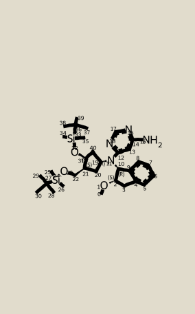 CO[C@H]1Cc2ccccc2[C@H]1N(c1cc(N)ncn1)[C@@H]1C[C@@H](CO[Si](C)(C)C(C)(C)C)[C@@H](O[Si](C)(C)C(C)(C)C)C1